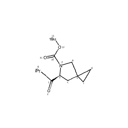 CC(C)C(=O)[C@@H]1CC2(CC2)CN1C(=O)OC(C)(C)C